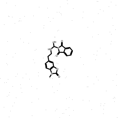 CCCC(NCCc1ccc2c(c1)oc(=O)n2C)N1C(=O)c2ccccc2C1=O